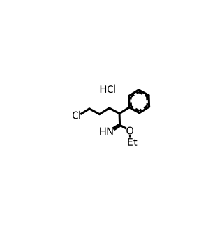 CCOC(=N)C(CCCCl)c1ccccc1.Cl